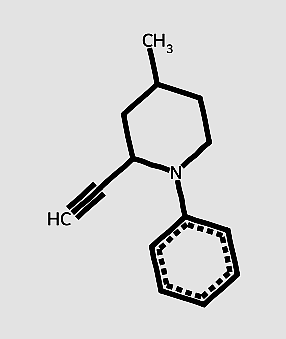 C#CC1CC(C)CCN1c1ccccc1